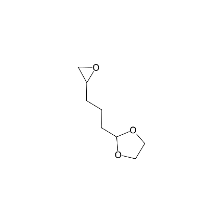 C(CC1CO1)CC1OCCO1